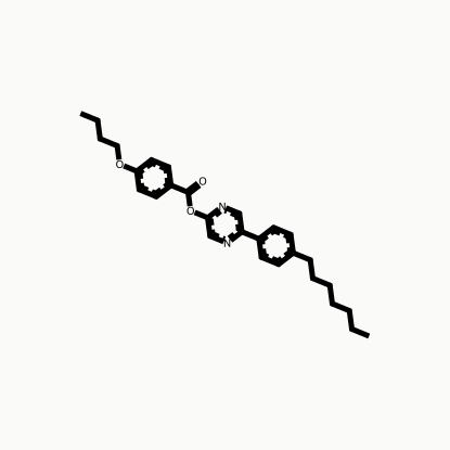 CCCCCCCc1ccc(-c2cnc(OC(=O)c3ccc(OCCCC)cc3)cn2)cc1